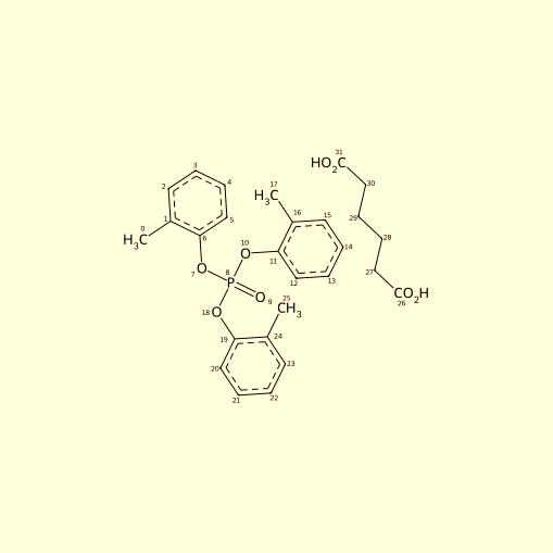 Cc1ccccc1OP(=O)(Oc1ccccc1C)Oc1ccccc1C.O=C(O)CCCCC(=O)O